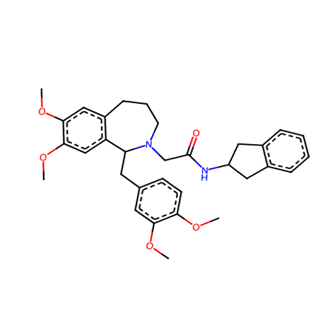 COc1ccc(CC2c3cc(OC)c(OC)cc3CCCN2CC(=O)NC2Cc3ccccc3C2)cc1OC